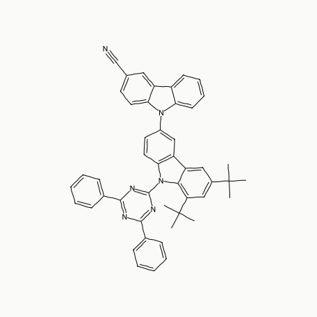 CC(C)(C)c1cc(C(C)(C)C)c2c(c1)c1cc(-n3c4ccccc4c4cc(C#N)ccc43)ccc1n2-c1nc(-c2ccccc2)nc(-c2ccccc2)n1